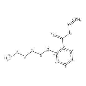 C=CCC(=O)c1ccccc1OCCCCC